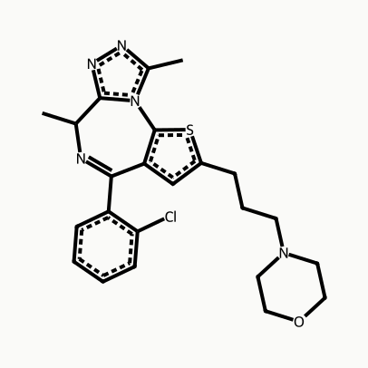 Cc1nnc2n1-c1sc(CCCN3CCOCC3)cc1C(c1ccccc1Cl)=NC2C